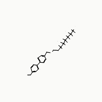 OCc1ccc(-c2ccc(COCCC(F)(F)C(F)(F)C(F)(F)C(F)(F)C(F)(F)C(F)(F)F)cc2)cc1